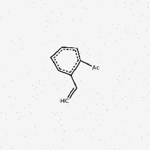 [CH]=Cc1ccccc1C(C)=O